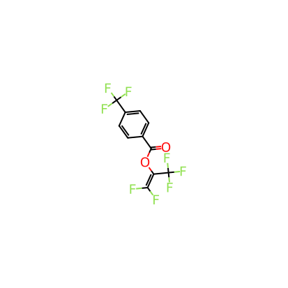 O=C(OC(=C(F)F)C(F)(F)F)c1ccc(C(F)(F)F)cc1